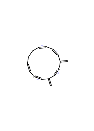 C=C1/C=N\C=C/CC/C=C\C=C/C(=C)/N=C\1